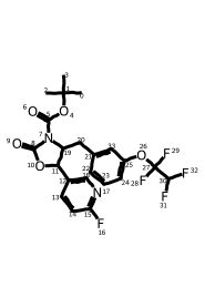 CC(C)(C)OC(=O)N1C(=O)OC(c2ccc(F)nc2)C1Cc1cccc(OC(F)(F)C(F)F)c1